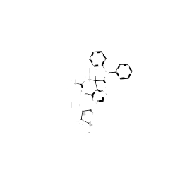 NC1=Nc2c(ncn2[C@@H]2O[C@H](CO)[C@@H](O)[C@H]2O)C(O)(C(=O)N(c2ccccc2)c2ccccc2)N1